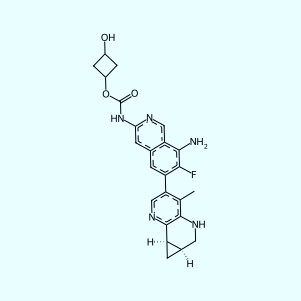 Cc1c(-c2cc3cc(NC(=O)OC4CC(O)C4)ncc3c(N)c2F)cnc2c1NC[C@H]1C[C@@H]21